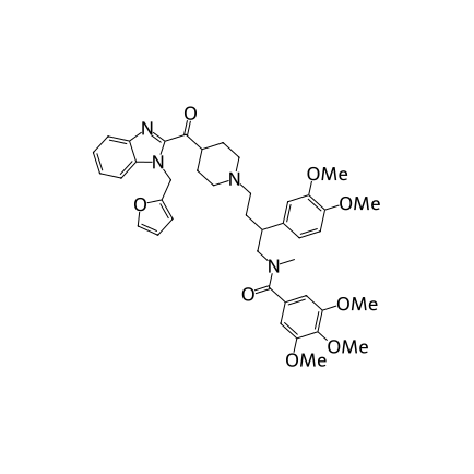 COc1ccc(C(CCN2CCC(C(=O)c3nc4ccccc4n3Cc3ccco3)CC2)CN(C)C(=O)c2cc(OC)c(OC)c(OC)c2)cc1OC